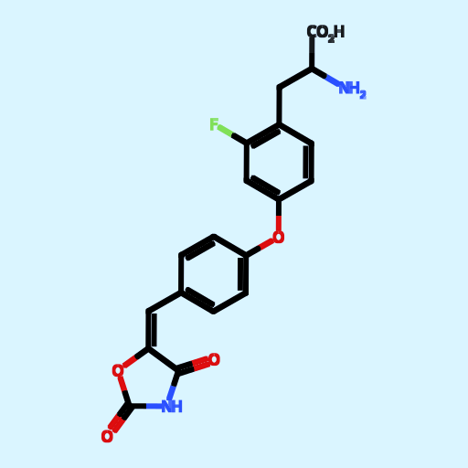 NC(Cc1ccc(Oc2ccc(/C=C3/OC(=O)NC3=O)cc2)cc1F)C(=O)O